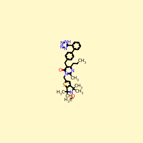 CCCc1nc(C)n(Cc2cc3c(s2)C(C)(C)N(OC)C3(C)C)c(=O)c1Cc1ccc(-c2ccccc2-c2nnn[nH]2)cc1